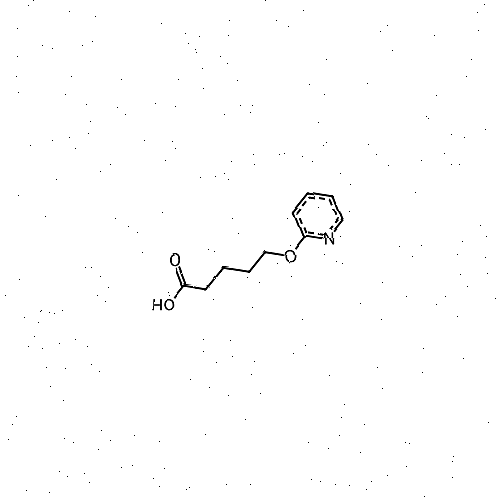 O=C(O)CCCCOc1ccccn1